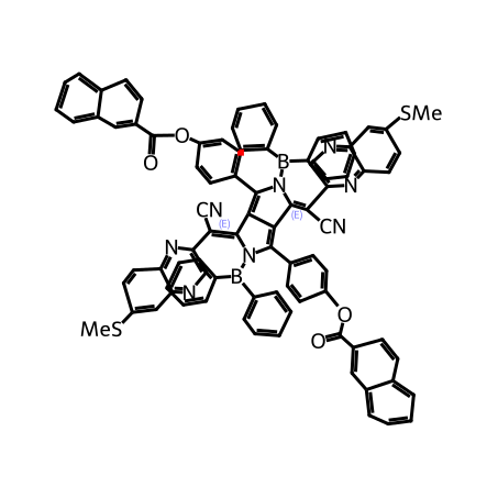 CSc1ccc2nc(/C(C#N)=c3/c4c(-c5ccc(OC(=O)c6ccc7ccccc7c6)cc5)n(B(c5ccccc5)c5ccccc5)/c(=C(/C#N)c5cnc6cc(SC)ccc6n5)c4c(-c4ccc(OC(=O)c5ccc6ccccc6c5)cc4)n3B(c3ccccc3)c3ccccc3)cnc2c1